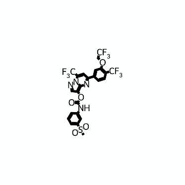 CS(=O)(=O)c1cccc(NC(=O)Oc2cnn3c(C(F)(F)F)cc(-c4ccc(C(F)(F)F)c(OCC(F)(F)F)c4)nc23)c1